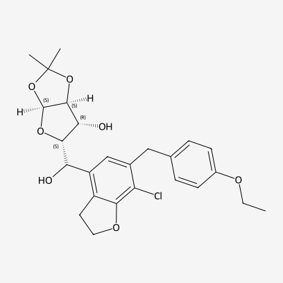 CCOc1ccc(Cc2cc(C(O)[C@@H]3O[C@H]4OC(C)(C)O[C@H]4[C@@H]3O)c3c(c2Cl)OCC3)cc1